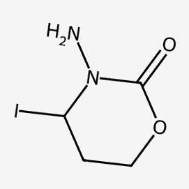 NN1C(=O)OCCC1I